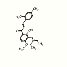 CCN(CC)Cc1c(OC)ccc(C(=O)/C=C/c2ccc(C)cc2C)c1O